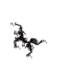 CCCCCC/C=C\COC(=O)CCCCCC(CN(CCCNC(=O)CN(C)CC(=O)NCCCN(CC(CCCCCC(=O)OC/C=C\CCCCCC)O[Si](C)(C)C(C)(C)C)CC(CCCCCC(=O)OC/C=C\CCCCCC)O[Si](C)(C)C(C)(C)C)CC(CCCCCC(=O)OC/C=C\CCCCCC)O[Si](C)(C)C(C)(C)C)O[Si](C)(C)C(C)(C)C